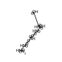 CNC(C=O)CCCCNC(=O)COCCOCCNC(=O)COCCOCCNC(=O)CCC(NC(=O)CCCCCCCCCCCCC(=O)O)C(=O)O